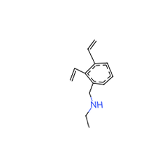 C=Cc1cccc(CNCC)c1C=C